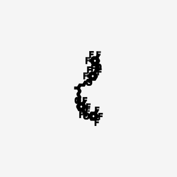 CC(CCCOc1ccc(C(F)(F)Oc2cc(F)c(F)c(F)c2)c(F)c1F)CCCOc1ccc(C(F)(F)Oc2cc(F)c(F)c(F)c2)c(F)c1F